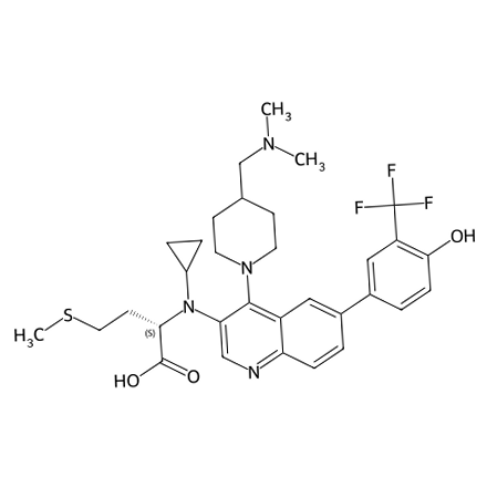 CSCC[C@@H](C(=O)O)N(c1cnc2ccc(-c3ccc(O)c(C(F)(F)F)c3)cc2c1N1CCC(CN(C)C)CC1)C1CC1